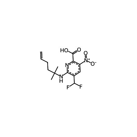 C=CCCC(C)(C)Nc1nc(C(=O)O)c([N+](=O)[O-])cc1C(F)F